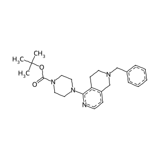 CC(C)(C)OC(=O)N1CCN(c2nccc3c2CCN(Cc2ccccc2)C3)CC1